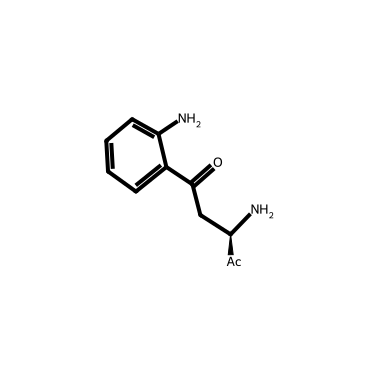 CC(=O)[C@H](N)CC(=O)c1ccccc1N